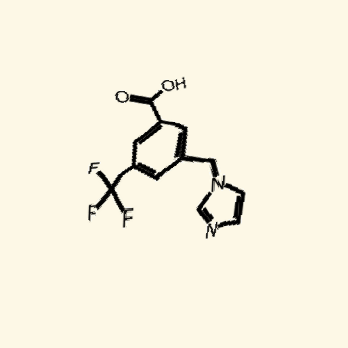 O=C(O)c1cc(Cn2ccnc2)cc(C(F)(F)F)c1